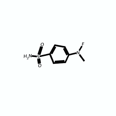 CN(F)c1ccc(S(N)(=O)=O)cc1